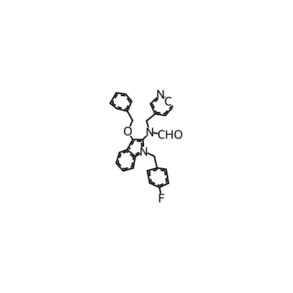 O=CN(Cc1cccnc1)c1c(OCc2ccccc2)c2ccccc2n1Cc1ccc(F)cc1